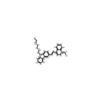 CCOCCOCn1c2ccccc2c2cc(/C=C/c3cc[n+](CC)c4ccccc34)ccc21